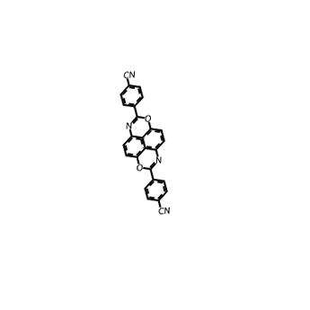 N#Cc1ccc(C2=Nc3ccc4c5c(ccc(c35)O2)N=C(c2ccc(C#N)cc2)O4)cc1